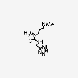 CNCCCN(C)C(=O)NCc1nnn[nH]1